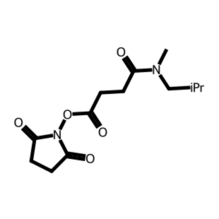 CC(C)CN(C)C(=O)CCC(=O)ON1C(=O)CCC1=O